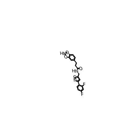 O=C(CCc1ccc2c(c1)ONO2)NCc1cc(-c2ccc(F)cc2F)no1